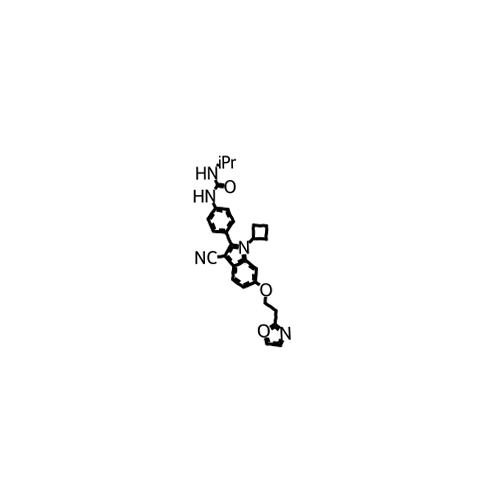 CC(C)NC(=O)Nc1ccc(-c2c(C#N)c3ccc(OCCc4ncco4)cc3n2C2CCC2)cc1